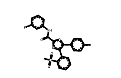 CS(=O)(=O)c1ccccc1-c1nc(C(=O)Nc2cccc(F)c2)sc1-c1ccc(F)cc1